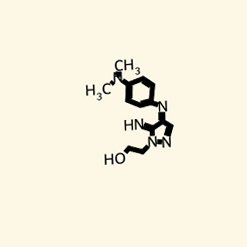 CN(C)c1ccc(N=C2C=NN(CCO)C2=N)cc1